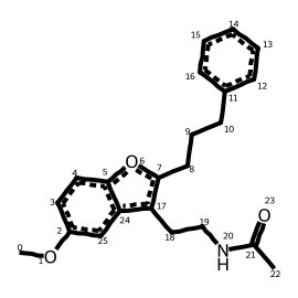 COc1ccc2oc(CCCc3ccccc3)c(CCNC(C)=O)c2c1